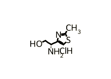 Cc1nc([C@H](N)CO)cs1.Cl